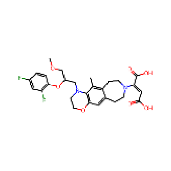 COCC(CN1CCOc2cc3c(c(C)c21)CCN(/C(=C\C(=O)O)C(=O)O)CC3)Oc1ccc(F)cc1F